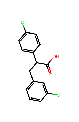 O=C(O)C(Cc1cccc(Cl)c1)c1ccc(Cl)cc1